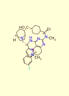 CC[C@H](C1CCC(C(=O)O)CC1)N(C)c1nc2c(c(N[C@@H](CN3C4CCC[C@@H]3CC4)c3ccn(C)n3)n1)C[C@H](c1cccc(F)c1)CC2